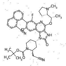 C[C@H](Oc1nc2c(F)c(-c3cccc4cccc(C#N)c34)c(Cl)cc2c2c1[nH]c(=O)n2[C@H]1CCN(C(=O)OC(C)(C)C)[C@H](CC#N)C1)[C@@H]1CCCN1C